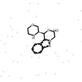 Cl.c1ccc2c3n(nc2c1)CCOC3[C@@H]1COCCN1